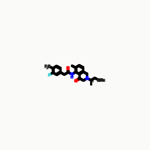 CNC[C@@H](C)N1CC(=O)c2c(ccc(C)c2NC(=O)Cc2ccc(C(F)(F)F)c(F)c2)C1